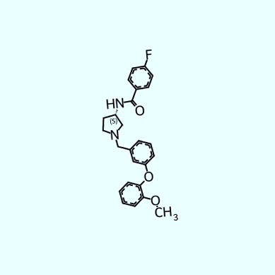 COc1ccccc1Oc1cccc(CN2CC[C@H](NC(=O)c3ccc(F)cc3)C2)c1